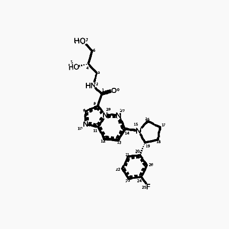 O=C(NC[C@H](O)CO)c1cnc2ccc(N3CCC[C@@H]3c3cccc(F)c3)nn12